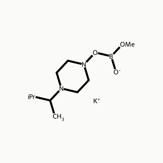 COB([O-])ON1CCN(C(C)C(C)C)CC1.[K+]